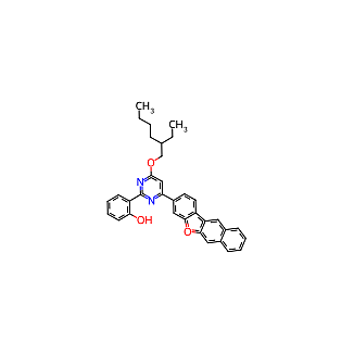 CCCCC(CC)COc1cc(-c2ccc3c(c2)oc2cc4ccccc4cc23)nc(-c2ccccc2O)n1